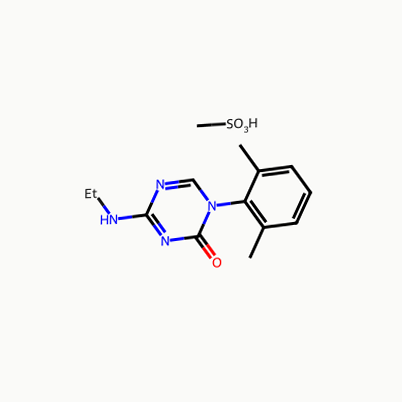 CCNc1ncn(-c2c(C)cccc2C)c(=O)n1.CS(=O)(=O)O